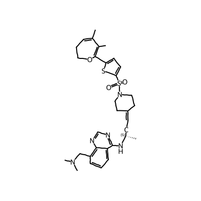 CC1=CCCOC(c2ccc(S(=O)(=O)N3CCC(=CC[C@H](C)Nc4ncnc5c(CN(C)C)cccc45)CC3)s2)=C1C